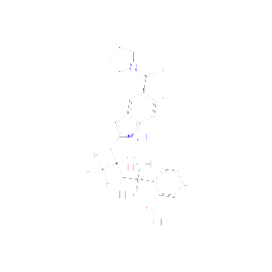 COc1ccc(F)cc1C(C)(C)CC(O)(Cc1cc2cc(C(=O)N3CCCC3)ccc2[nH]1)C(F)(F)F